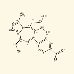 CCC(=O)c1ccc(C2=N[C@@H](CC(C)=O)c3nnc(C)n3-c3sc(C)c(C)c32)cc1